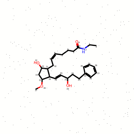 CCNC(=O)CCC/C=C\CC1C(O)CC(OC)C1/C=C/C(O)CCc1ccccc1